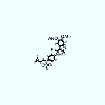 CC/C(Nc1ccc(N(CCN(C)C)S(C)(=O)=O)cc1)=C1/C(=O)Nc2cc(OC)c(OC)cc21